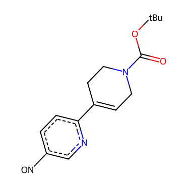 CC(C)(C)OC(=O)N1CC=C(c2ccc(N=O)cn2)CC1